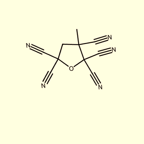 CC1(C#N)CC(C#N)(C#N)OC1(C#N)C#N